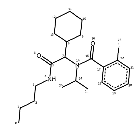 CCCCNC(=O)C(C1CCCCC1)N(C(=O)c1ccccc1I)C(C)C